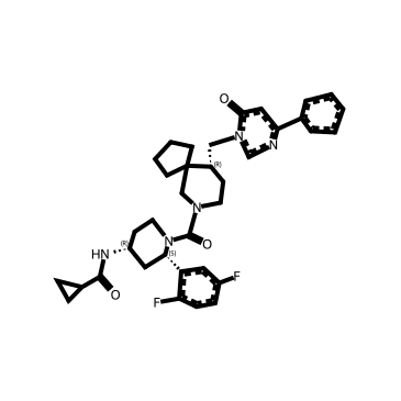 O=C(N[C@@H]1CCN(C(=O)N2CC[C@@H](Cn3cnc(-c4ccccc4)cc3=O)C3(CCCC3)C2)[C@H](c2cc(F)ccc2F)C1)C1CC1